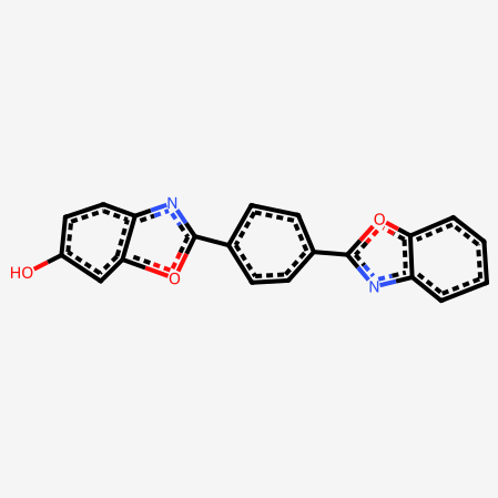 Oc1ccc2nc(-c3ccc(-c4nc5ccccc5o4)cc3)oc2c1